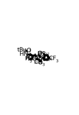 CC(C)(C)C(=O)Nc1cc(CN2C(=O)N(c3ccc(C(F)(F)F)cc3S)C(=O)C2(C)C)ccn1